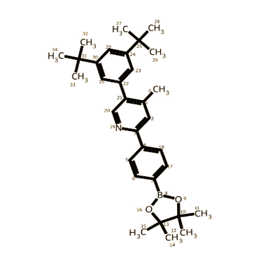 Cc1cc(-c2ccc(B3OC(C)(C)C(C)(C)O3)cc2)ncc1-c1cc(C(C)(C)C)cc(C(C)(C)C)c1